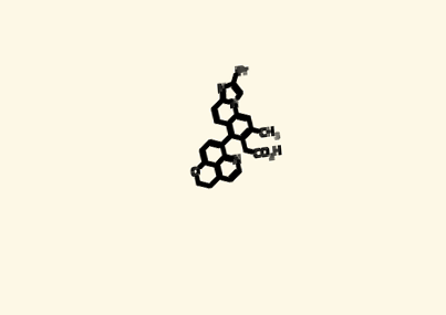 Cc1cc2c(ccc3nc(C(C)C)cn32)c(-c2ccc3c4c(ccnc24)CCO3)c1CC(=O)O